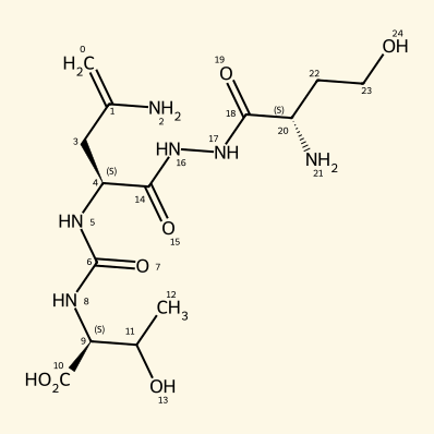 C=C(N)C[C@H](NC(=O)N[C@H](C(=O)O)C(C)O)C(=O)NNC(=O)[C@@H](N)CCO